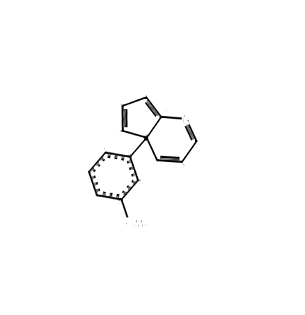 COc1cccc(C23C=CC=NC2=CC=C3)c1